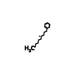 CCCCCC[CH]CCCc1ccccc1